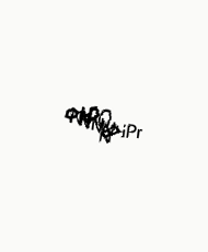 Cc1cccc(Cn2nc(C)c3c(NC(=O)c4cnc5cc(C(C)C)ccn45)cccc32)n1